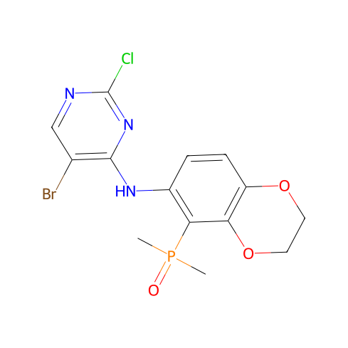 CP(C)(=O)c1c(Nc2nc(Cl)ncc2Br)ccc2c1OCCO2